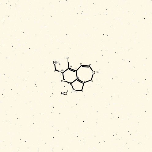 Cl.NC[C@@H]1OB2OCC3=C2C(=C1I)C=COC3